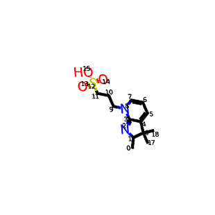 CC1N=C2C(=CC=CN2CCCS(=O)(=O)O)C1(C)C